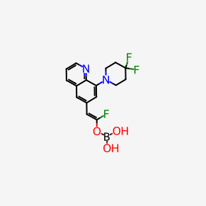 OB(O)O/C(F)=C/c1cc(N2CCC(F)(F)CC2)c2ncccc2c1